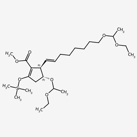 CCOC(C)OCCCCCCC=C[C@@H]1C(C(=O)OC)=C(O[Si](C)(C)C)C[C@H]1OC(C)OCC